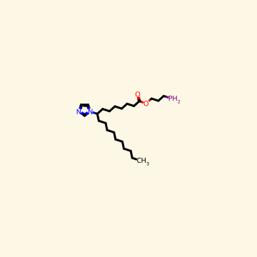 CCCCCCCCCCC(CCCCCCC(=O)OCCCP)n1ccnc1